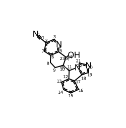 N#Cc1cnc2c(c1)CC[C@H](C1c3ccccc3-c3cncn31)[C@@H]2O